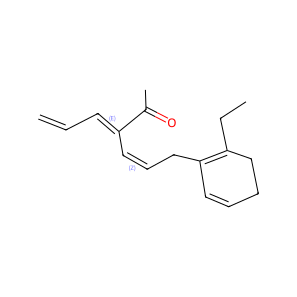 C=C/C=C(\C=C/CC1=C(CC)CCC=C1)C(C)=O